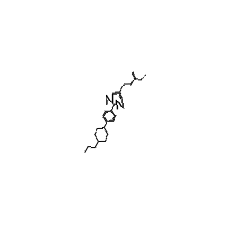 C=C(CC)CCc1cnc(-c2ccc(C3CCC(CCC)CC3)cc2)nc1